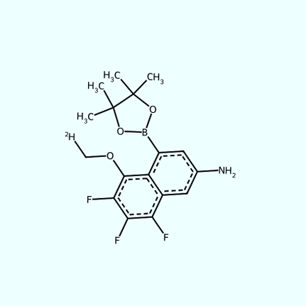 [2H]COc1c(F)c(F)c(F)c2cc(N)cc(B3OC(C)(C)C(C)(C)O3)c12